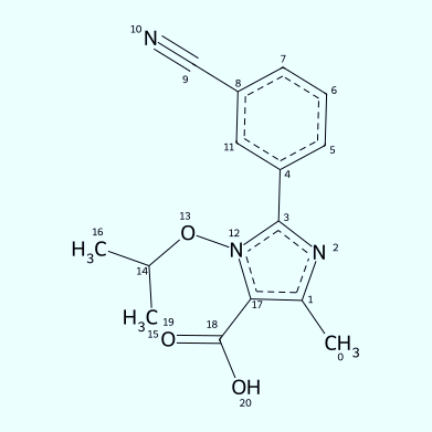 Cc1nc(-c2cccc(C#N)c2)n(OC(C)C)c1C(=O)O